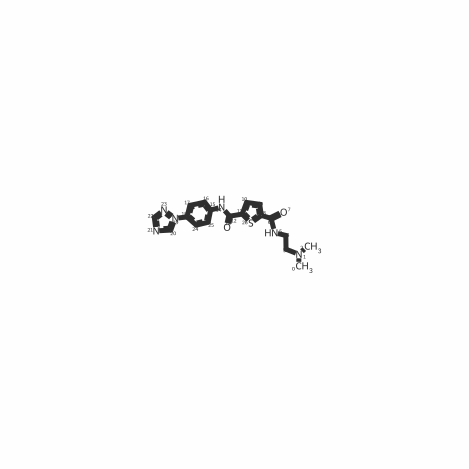 CN(C)CCNC(=O)c1ccc(C(=O)Nc2ccc(-n3cncn3)cc2)s1